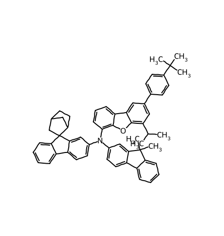 CC(C)c1cc(-c2ccc(C(C)(C)C)cc2)cc2c1oc1c(N(c3ccc4c(c3)C(C)(C)c3ccccc3-4)c3ccc4c(c3)C3(CC5CCC3C5)c3ccccc3-4)cccc12